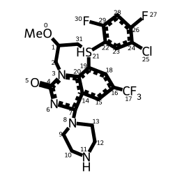 COC1Cn2c(=O)nc(N3CCNCC3)c3cc(C(F)(F)F)cc(c32)[SH](c2cc(Cl)c(F)cc2F)C1